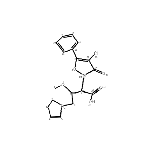 COC(CN1CCCC1)C(C(=O)O)n1oc(-c2ccccc2)c(Cl)c1=O